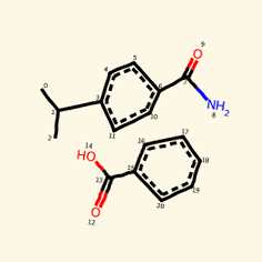 CC(C)c1ccc(C(N)=O)cc1.O=C(O)c1ccccc1